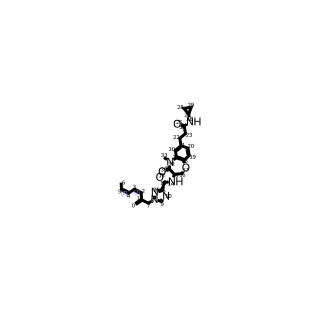 C=C(/C=C\C=C/C)Cn1cnc(C(=O)NC2COc3ccc(CCC(=O)NC4CC4)cc3N(C)C2=O)n1